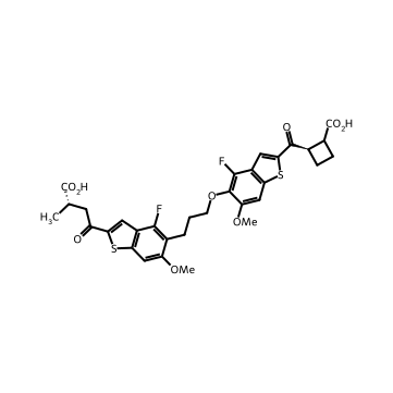 COc1cc2sc(C(=O)C[C@H](C)C(=O)O)cc2c(F)c1CCCOc1c(OC)cc2sc(C(=O)[C@@H]3CCC3C(=O)O)cc2c1F